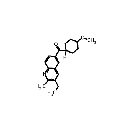 CCc1cc2cc(C(=O)C3(F)CCC(OC)CC3)ccc2nc1[11CH3]